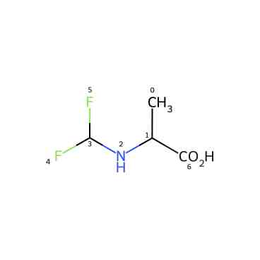 CC(NC(F)F)C(=O)O